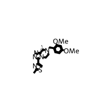 COc1ccc(CN2CCn3c(-c4csc(C)n4)nnc3[C@@H]2C)c(OC)c1